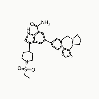 CCS(=O)(=O)N1CCC(c2c[nH]c3c(C(N)=O)cc(-c4cccc(CN5CCCC5c5cccs5)c4)cc23)CC1